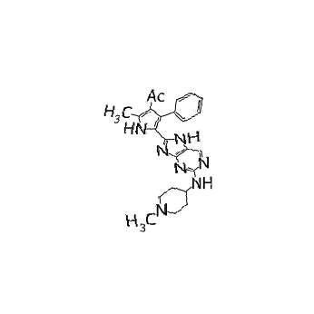 CC(=O)c1c(C)[nH]c(-c2nc3nc(NC4CCN(C)CC4)ncc3[nH]2)c1-c1ccccc1